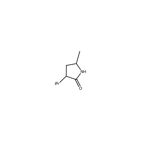 CC1CC(C(C)C)C(=O)N1